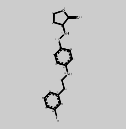 O=C1OCCC1NSc1ccc(NCCc2cccc(F)c2)cc1